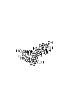 CC(=O)N[C@H]1[C@H]([C@H](O)[C@H](O)CO)O[C@@](OC[C@H]2O[C@@H](O[C@H]3[C@H](O)[C@@H](O)C(O)O[C@@H]3CO)[C@H](O)[C@@H](O[C@@H]3O[C@H](CO)[C@H](O)[C@H](O[C@]4(C(=O)O)C[C@H](O)[C@@H](NC(C)=O)[C@H]([C@H](O)[C@H](O)CO)O4)[C@H]3O)[C@H]2O)(C(=O)O)C[C@@H]1O